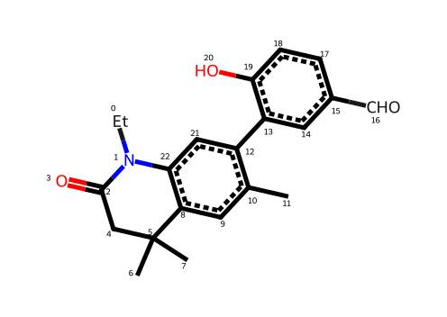 CCN1C(=O)CC(C)(C)c2cc(C)c(-c3cc(C=O)ccc3O)cc21